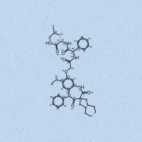 CCCCC1(CCCC)C(=O)[SH]c2cc(OCC(=O)N[C@@H](C(=O)N[C@@H](CC(C)C)C(=O)O)c3ccccc3)c(SC)cc2N(c2ccccc2)C1=O